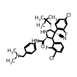 CN(C)Cc1ccc(NC(=O)[C@H]2N[C@H](CC(C)(C)C)[C@@](C#N)(c3ccc(Cl)cc3F)C2c2cccc(Cl)c2F)cc1